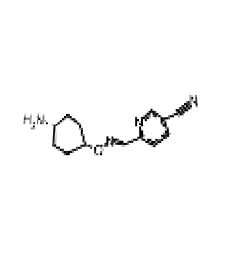 N#Cc1ccc(C=NO[C@H]2CC[C@@H](N)CC2)nc1